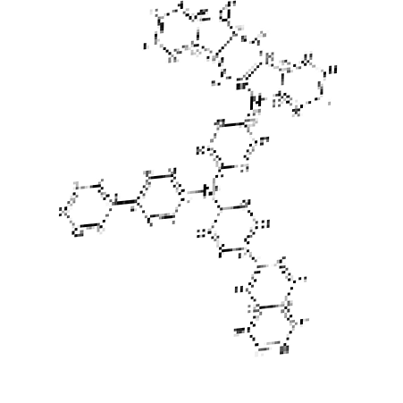 c1ccc(-c2ccc(N(c3ccc(-c4ccc5ccccc5c4)cc3)c3ccc(-n4c5ccccc5c5cc6oc7ccccc7c6cc54)cc3)cc2)cc1